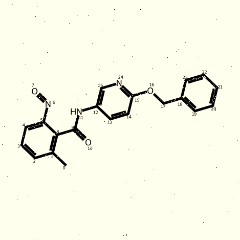 Cc1cccc(N=O)c1C(=O)Nc1ccc(OCc2ccccc2)nc1